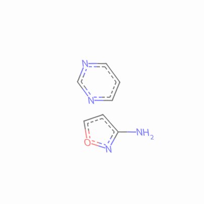 Nc1ccon1.c1cncnc1